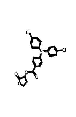 O=C(OC1CCOC1=O)c1ccc([S+](c2ccc(Cl)cc2)c2ccc(Cl)cc2)cc1